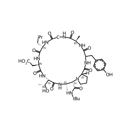 CC(C)C[C@@H]1NC(=O)CNC(=O)[C@@H](C)NC(=O)C(Cc2ccc(O)cc2)NC(=O)[C@@H]2CCCN2[C@H](C(=O)NC(C)(C)C)[C@H](C)NC(=O)[C@H]([C@@H](C)O)NC(=O)[C@@H](CC(=O)O)NC1=O